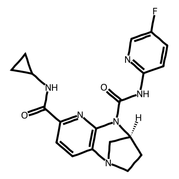 O=C(NC1CC1)c1ccc2c(n1)N(C(=O)Nc1ccc(F)cn1)[C@H]1CCN2C1